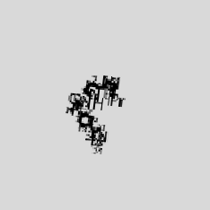 CC(C)n1cnnc1-c1cccc(NC(=O)N(C)c2ccc(-c3cnn(C)c3)cc2)n1